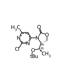 Cc1cc(N2C(=O)OC[C@@H]2[C@@H](C)OC(C)(C)C)nc(Cl)n1